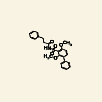 COc1ccc(-c2ccccc2)c(OC)c1S(=O)(=O)NC(=O)CCc1ccccc1